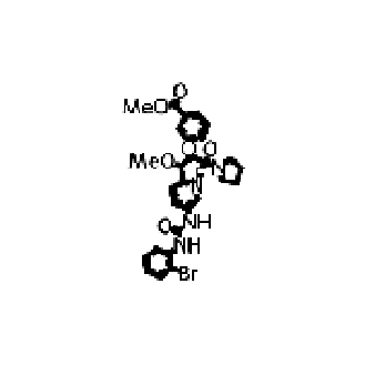 COC(=O)c1ccc(OC(F)(C(=O)C(OC)c2ccc(NC(=O)Nc3ccccc3Br)cn2)N2CCCC2)cc1